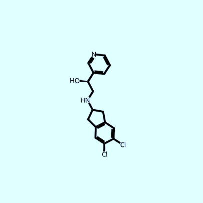 O[C@H](CNC1Cc2cc(Cl)c(Cl)cc2C1)c1cccnc1